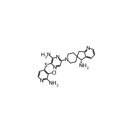 Nc1nc(N2CCC3(CC2)Cc2ncccc2[C@H]3N)cnc1Sc1ccnc(N)c1Cl